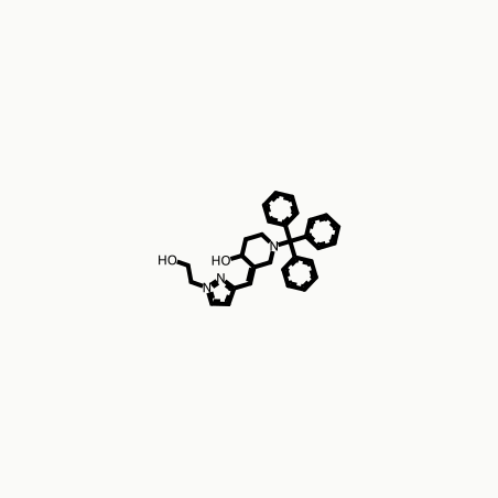 OCCn1ccc(C=C2CN(C(c3ccccc3)(c3ccccc3)c3ccccc3)CCC2O)n1